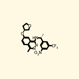 Cc1nnc(N[C@H](C)c2cc([N+](=O)[O-])cc(C(F)(F)F)c2)c2cc(O[C@H]3CCOC3)ccc12